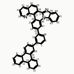 c1cc(-c2ccc3c4ccccc4c4ccccc4c3c2)cc(-c2ccc3c4c(ccc5cccnc54)c4nc5ccccc5n4c3c2)c1